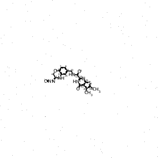 [C-]#[N+]/N=C1\COc2ccc(CNC(=O)c3nc4sc(C)c(C)c4c(=O)[nH]3)cc2N1